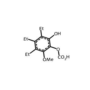 CCc1c(O)c(OC(=O)O)c(OC)c(CC)c1CC